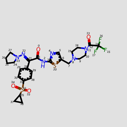 O=C(Nc1ncc(CN2CCN(C(=O)C(F)(F)F)CC2)s1)/C(=N/N1CCCC1)c1ccc(S(=O)(=O)C2CC2)cc1